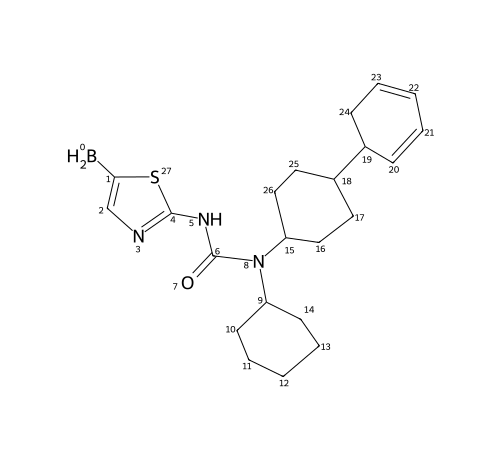 Bc1cnc(NC(=O)N(C2CCCCC2)C2CCC(C3C=CC=CC3)CC2)s1